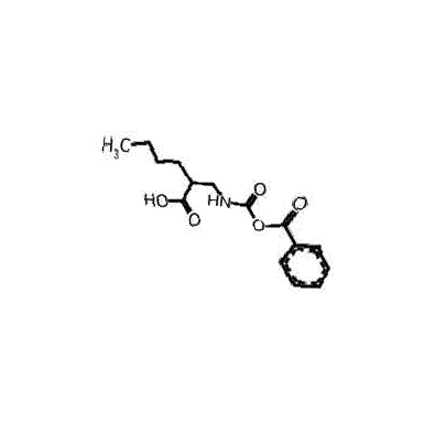 CCCCC(CNC(=O)OC(=O)c1ccccc1)C(=O)O